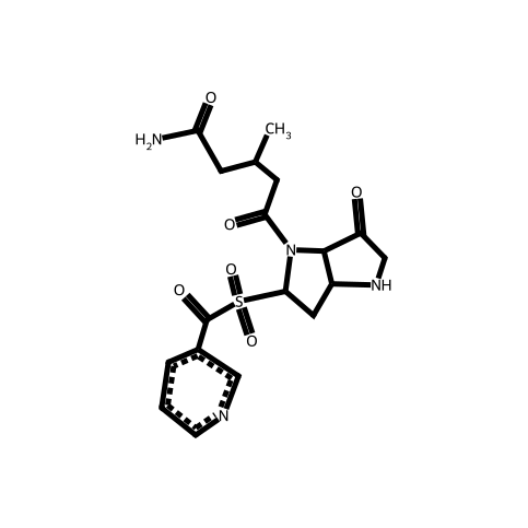 CC(CC(N)=O)CC(=O)N1C2C(=O)CNC2CC1S(=O)(=O)C(=O)c1cccnc1